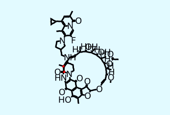 CO[C@H]1/C=C/O[C@@]2(C)Oc3c(C)c(O)c4c(c3C2=O)C(=O)C(N2CCC(NCC3CCN(c5c(F)cn6c(=O)c(C)cc(C7CC7)c6c5C)C3)CC2)=C(NC(=O)/C(C)=C\C=C\[C@H](C)[C@H](O)[C@@H](C)[C@@H](O)[C@@H](C)[C@H](OC(C)=O)[C@@H]1C)C4=O